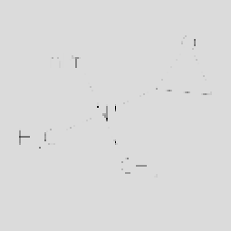 CCC[N+](C)(C)C1CO1.[I-]